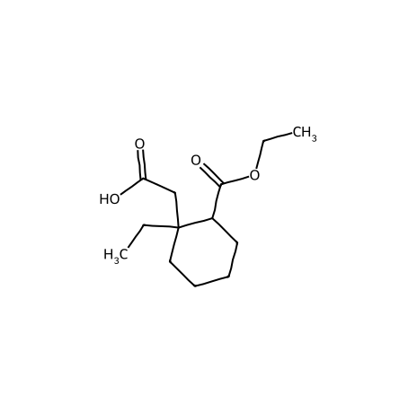 CCOC(=O)C1CCCCC1(CC)CC(=O)O